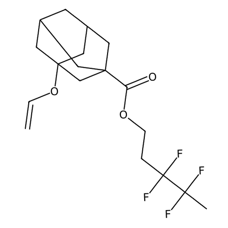 C=COC12CC3CC(C1)CC(C(=O)OCCC(F)(F)C(C)(F)F)(C3)C2